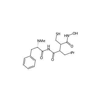 CN[C@@H](Cc1ccccc1)C(=O)NC(=O)C(CC(C)C)C(CS)C(=O)NO